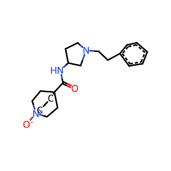 O=C(NC1CCN(CCc2ccccc2)C1)C12CC[N+]([O-])(CC1)CC2